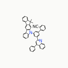 CC1(C)c2ccccc2-c2cc3c4ccccc4n(-c4cc(-c5cc(-c6ccccc6)c6ccccc6n5)cc(-c5ccccc5C#N)c4)c3cc21